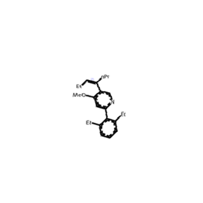 CC/C=C(/CCC)c1cnc(-c2c(CC)cccc2CC)cc1OC